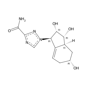 NC(=O)c1ncn([C@@H]2C3=CC[C@@H](O)C[C@@H]3[C@@H](O)[C@H]2O)n1